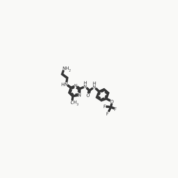 Cc1cc(NCCN)nc(NC(=O)Nc2ccc(OC(F)(F)F)cc2)n1